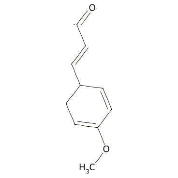 COC1=CCC(C=C[C]=O)C=C1